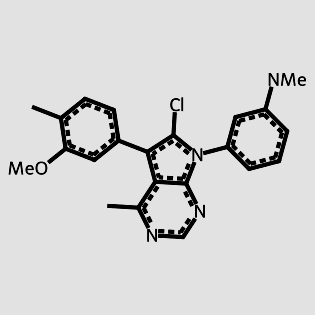 CNc1cccc(-n2c(Cl)c(-c3ccc(C)c(OC)c3)c3c(C)ncnc32)c1